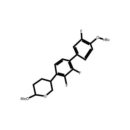 CCCCOc1ccc(-c2ccc(C3CCC(OC)OC3)c(F)c2F)cc1F